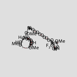 COc1ccc(-c2ccc3ncc4c(c3c2)n(-c2ccc(N3CCN(C(=O)CCOCCOCCOCCOCCOCCOCCOCCOCCn5cc(CCCCO[C@@H]6CC[C@@H](C[C@@H](N)[C@@H]7CC(=O)[C@H](C)/C=C(\C)[C@@H](O)[C@@H](OC)C(=O)[C@H](C)C[C@H](C)/C=C/C=C/C=C(\C)[C@@H](OC)C[C@@H]8CC[C@@H](C)[C@@](O)(O8)C(=O)C(=O)N8CCCC[C@H]8C(=O)O7)C[C@H]6OC)nn5)CC3)c(C(F)(F)F)c2)c(=O)n4C)cn1